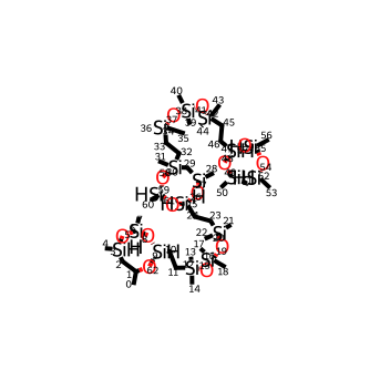 CC1C[SiH](C)O[SiH](C)O[SiH](CC[Si](C)(C)O[Si](C)(C)O[Si](C)(C)CC[SiH]2O[SiH](C)C[Si](C)(CC[Si](C)(C)O[Si](C)(C)O[Si](C)(C)CC[SiH]3O[SiH](C)C[SiH](C)O[SiH](C)O3)O[SiH](C)O2)O1